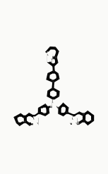 CN1C=c2ccccc2=CC1c1ccc(N(c2ccc(-c3ccc(-c4cc5ccccn5c4)cc3)cc2)c2ccc(-c3cc4ccccc4cn3)cc2)cc1